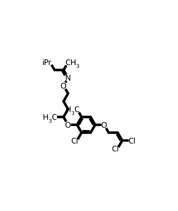 CC(CC(C)C)=NOCCCC(C)Oc1c(C)cc(OCC=C(Cl)Cl)cc1Cl